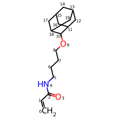 C=CC(=O)NCCCCOC1C2CC3CC(C2)CC1C3